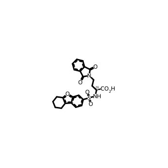 O=C(O)[C@H](CCN1C(=O)c2ccccc2C1=O)NS(=O)(=O)c1ccc2c3c(oc2c1)CCCC3